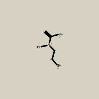 C=C(C(C)C)N(CCC(C)C)C(C)C